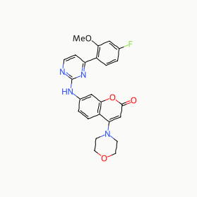 COc1cc(F)ccc1-c1ccnc(Nc2ccc3c(N4CCOCC4)cc(=O)oc3c2)n1